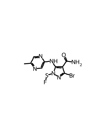 Cc1cnc(Nc2c(C(N)=O)c(Br)nn2SF)cn1